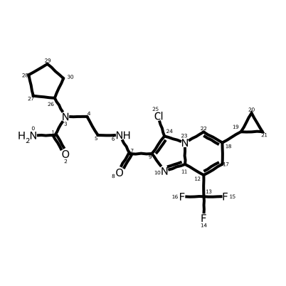 NC(=O)N(CCNC(=O)c1nc2c(C(F)(F)F)cc(C3CC3)cn2c1Cl)C1CCCC1